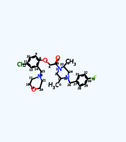 CC1CN(C(=O)COc2ccc(Cl)cc2CN2CCOCC2)C(C)CN1Cc1ccc(F)cc1